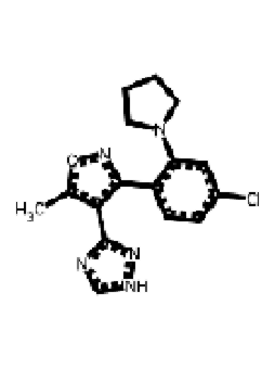 Cc1onc(-c2ccc(Cl)cc2N2CCCC2)c1-c1nc[nH]n1